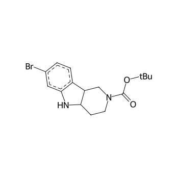 CC(C)(C)OC(=O)N1CCC2Nc3cc(Br)ccc3C2C1